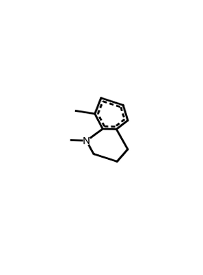 Cc1cccc2c1N(C)CCC2